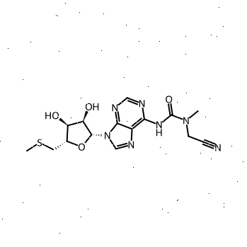 CSC[C@H]1O[C@@H](n2cnc3c(NC(=O)N(C)CC#N)ncnc32)[C@H](O)[C@@H]1O